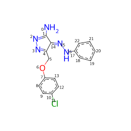 NC1=NN=C(COc2ccc(Cl)cc2)/C1=N\Nc1ccccc1